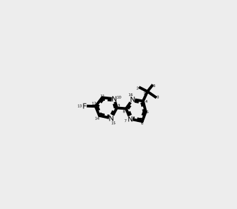 CC(C)(C)c1ccnc(-c2ncc(F)cn2)n1